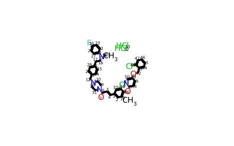 Cc1cc(C=CC(=O)N2CCN(Cc3ccc(CCN(C)c4ccc(F)cc4)cc3)CC2)cc(Cl)c1Oc1ccc(OCc2ccccc2Cl)cn1.Cl.Cl